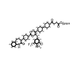 CCCCCCOC(=O)CCC(=O)N1CCN(C2CCN(C(=O)[C@@H](Cc3cc(Cl)c(N)c(C(F)(F)F)c3)OC(=O)N3CCC(N4CCc5ccccc5NC4=O)CC3)CC2)CC1